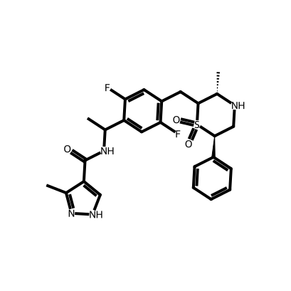 Cc1n[nH]cc1C(=O)NC(C)c1cc(F)c(CC2[C@H](C)NC[C@@H](c3ccccc3)S2(=O)=O)cc1F